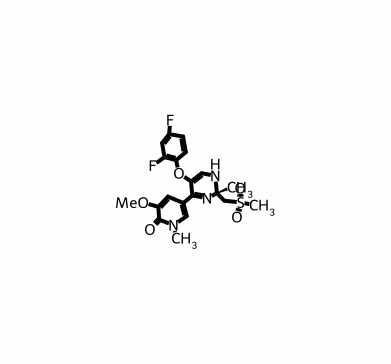 COc1cc(C2=N[C@@](C)(CS(C)(=O)=O)NC=C2Oc2ccc(F)cc2F)cn(C)c1=O